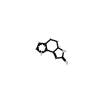 O=C1C=C2c3sccc3CCC2O1